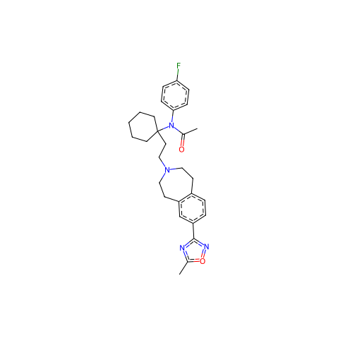 CC(=O)N(c1ccc(F)cc1)C1(CCN2CCc3ccc(-c4noc(C)n4)cc3CC2)CCCCC1